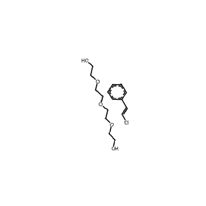 ClC=Cc1ccccc1.OCCOCCOCCOCCO